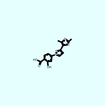 Cc1nc(C)c(-c2ccn(-c3ccc(C(=O)O)c(O)c3)n2)s1